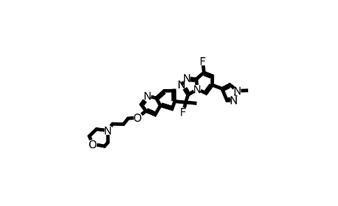 Cn1cc(-c2cc(F)c3nnc(C(C)(F)c4ccc5ncc(OCCCN6CCOCC6)cc5c4)n3c2)cn1